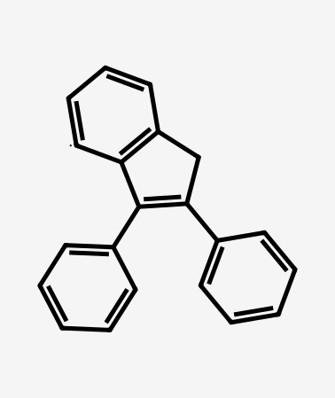 [c]1cccc2c1C(c1ccccc1)=C(c1ccccc1)C2